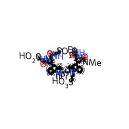 CCCN1/C(=C/C=C/C2=[N+](CCCS(=O)(=O)O)c3c(cc(-c4cc(C(=O)NC)nc(C(=O)NCC)c4)c4ccccc34)C2(C)C)C(C)(C)c2cc(-c3cc(C(=O)NCCS(=O)(=O)O)nc(C(=O)NCC(=O)O)c3)c3ccccc3c21